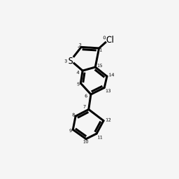 Clc1[c]sc2cc(-c3ccccc3)ccc12